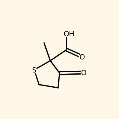 CC1(C(=O)O)SCCC1=O